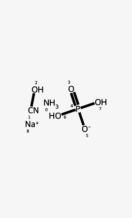 N.N#CO.O=P([O-])(O)O.[Na+]